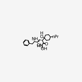 CCCC1CCC(O)([C@H](C[C@H](O)[C@@H](N)Cc2ccccc2)C(=O)NO)CC1